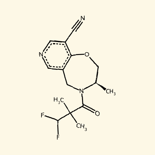 C[C@@H]1COc2c(C#N)cncc2CN1C(=O)C(C)(C)C(F)F